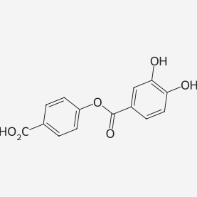 O=C(O)c1ccc(OC(=O)c2ccc(O)c(O)c2)cc1